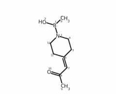 CB(O)N1CCC(=CC(C)=O)CC1